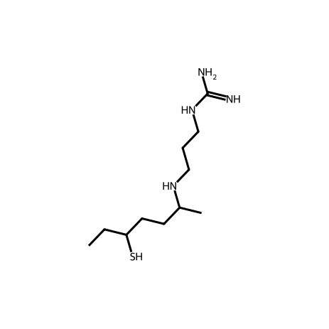 CCC(S)CCC(C)NCCCNC(=N)N